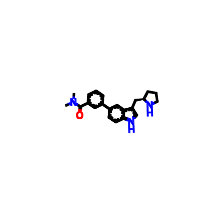 CN(C)C(=O)c1cccc(-c2ccc3[nH]cc(C[C@H]4CCCN4)c3c2)c1